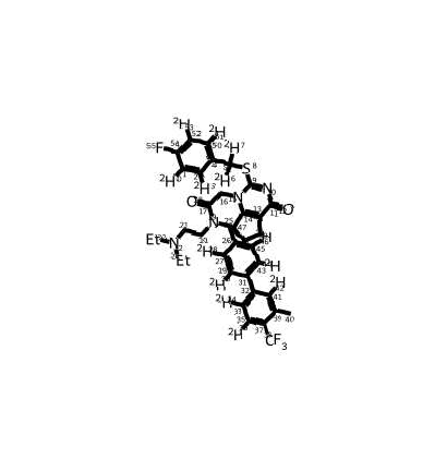 [2H]c1c([2H])c(C([2H])([2H])Sc2nc(=O)c3c(n2CC(=O)N(CCN(CC)CC)Cc2c([2H])c([2H])c(-c4c([2H])c([2H])c(C(F)(F)F)c(C)c4[2H])c([2H])c2[2H])CCC3)c([2H])c([2H])c1F